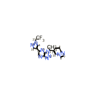 CC(c1ccc2nccn2c1)n1nnc2ncc(-c3cnn(CC(F)(F)F)c3)nc21